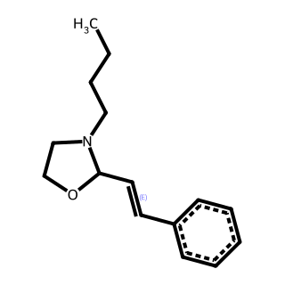 CCCCN1CCOC1/C=C/c1ccccc1